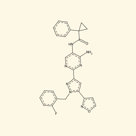 Nc1nc(-c2cc(-c3ccon3)n(Cc3ccccc3F)n2)ncc1NC(=O)C1(c2ccccc2)CC1